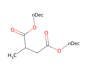 CCCCCCCCCCOC(=O)CC(C)C(=O)OCCCCCCCCCC